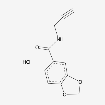 C#CCNC(=O)c1ccc2c(c1)OCO2.Cl